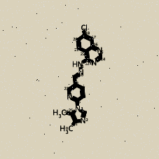 Cc1ncn(-c2ccc(C=NNc3ncnc4cc(Cl)ccc34)cn2)c1C